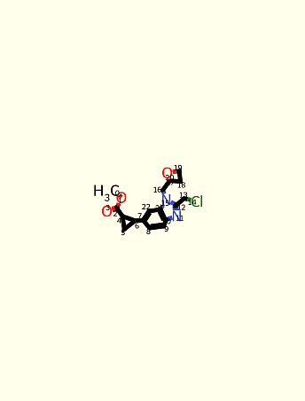 COC(=O)C1CC1c1ccc2nc(CCl)n(CC3CCO3)c2c1